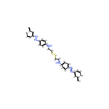 C=C/C=C(\C=C/C)N=Nc1ccc(NCCSSCCNc2ccc(N=NC(/C=C\C)=C/C=C)cc2)cc1